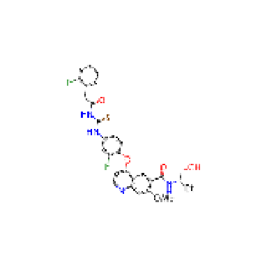 CCC(CO)NC(=O)c1cc2c(Oc3ccc(NC(=S)NC(=O)Cc4ccccc4F)cc3F)ccnc2cc1OC